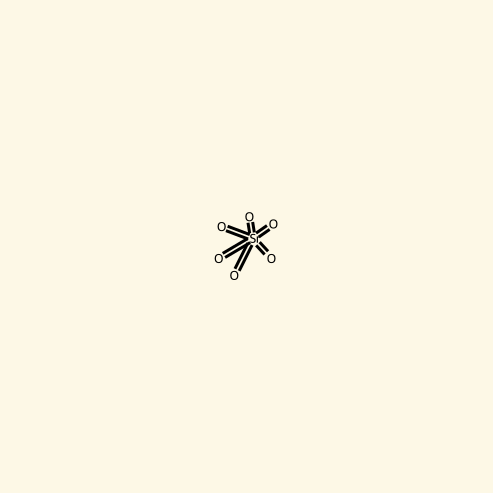 [O]=[Sr](=[O])(=[O])(=[O])(=[O])=[O]